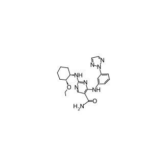 CCO[C@H]1CCCC[C@H]1Nc1ncc(C(N)=O)c(Nc2cccc(-n3nccn3)c2)n1